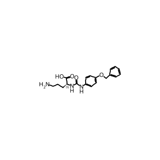 NCCC[C@H](NC(=O)Nc1ccc(OCc2ccccc2)cc1)C(=O)O